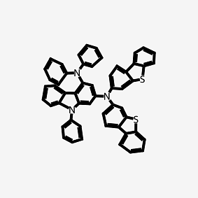 c1ccc(N(c2ccccc2)c2cc(N(c3ccc4c(c3)sc3ccccc34)c3ccc4c(c3)sc3ccccc34)cc3c2c2ccccc2n3-c2ccccc2)cc1